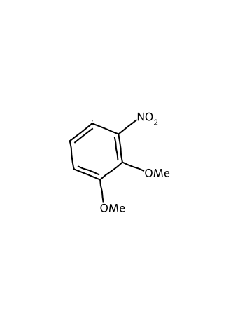 COc1cc[c]c([N+](=O)[O-])c1OC